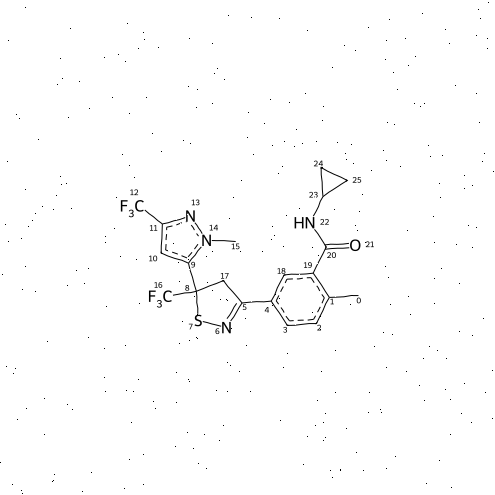 Cc1ccc(C2=NSC(c3cc(C(F)(F)F)nn3C)(C(F)(F)F)C2)cc1C(=O)NC1CC1